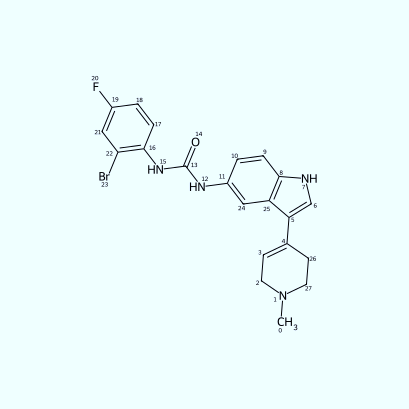 CN1CC=C(c2c[nH]c3ccc(NC(=O)Nc4ccc(F)cc4Br)cc23)CC1